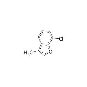 Cc1coc2c(Cl)cccc12